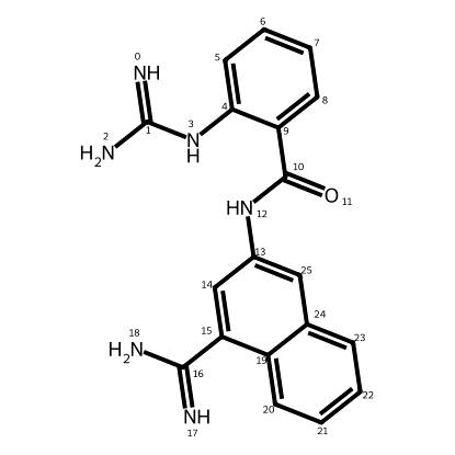 N=C(N)Nc1ccccc1C(=O)Nc1cc(C(=N)N)c2ccccc2c1